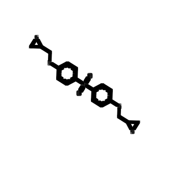 O=S(=O)(c1ccc(SCC2CS2)cc1)c1ccc(SCC2CS2)cc1